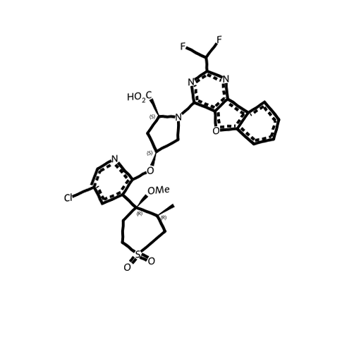 CO[C@]1(c2cc(Cl)cnc2O[C@H]2C[C@@H](C(=O)O)N(c3nc(C(F)F)nc4c3oc3ccccc34)C2)CCS(=O)(=O)C[C@@H]1C